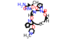 C=C[C@@H]1C[C@]1(NC(=O)[C@@H]1C[C@@H]2CN1C(=O)[C@H](C1CCCCC1)NC(=O)O[C@@H]1C[C@H]1CCCCCc1c(nc3ccccc3c1OC1CCN(C)CC1)O2)C(N)=O